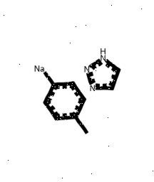 Cc1cc[c]([Na])cc1.c1c[nH]nn1